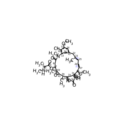 CN[C@H](C)C(=O)O[C@H]1CC(=O)N(C)c2cc(cc(OC)c2Cl)C/C(C)=C/C=C/[C@@H](OC)[C@@]2(O)C[C@H](OC(=O)N2)C(C)C2O[C@]21C